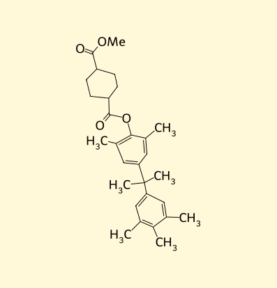 COC(=O)C1CCC(C(=O)Oc2c(C)cc(C(C)(C)c3cc(C)c(C)c(C)c3)cc2C)CC1